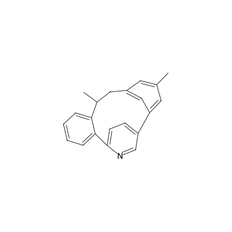 Cc1cc2cc(c1)-c1ccc(nc1)-c1ccccc1C(C)C2